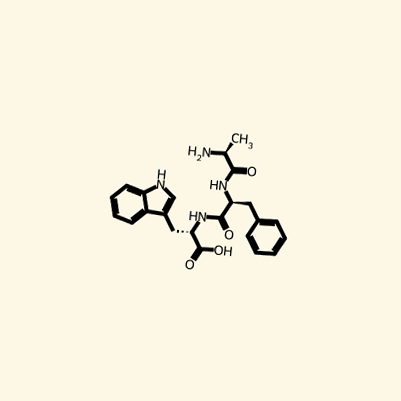 C[C@H](N)C(=O)N[C@@H](Cc1ccccc1)C(=O)N[C@@H](Cc1c[nH]c2ccccc12)C(=O)O